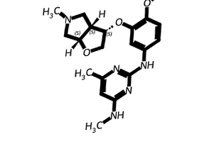 CNc1cc(C)nc(Nc2ccc(OC)c(O[C@@H]3CO[C@@H]4CN(C)C[C@@H]43)c2)n1